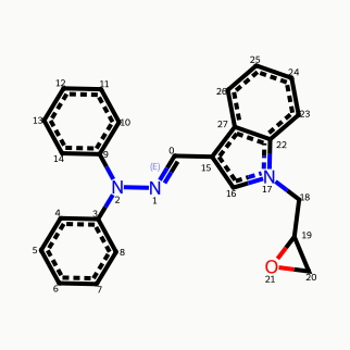 C(=N\N(c1ccccc1)c1ccccc1)/c1cn(CC2CO2)c2ccccc12